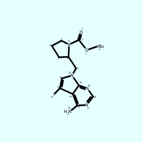 CC(C)(C)OC(=O)N1CCCC1Cn1cc(I)c2c(N)ncnc21